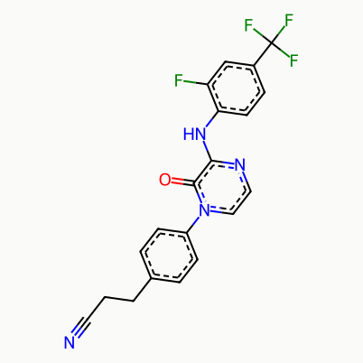 N#CCCc1ccc(-n2ccnc(Nc3ccc(C(F)(F)F)cc3F)c2=O)cc1